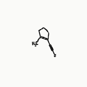 CC1=C(C#CCl)CCC1